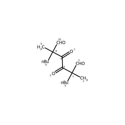 CCCCC(C)(C=O)C(=O)C(=O)C(C)(C=O)CCCC